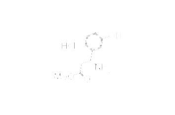 COC(=O)CC(N)c1cccc(O)c1.Cl